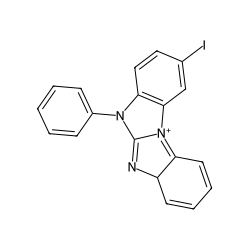 Ic1ccc2c(c1)[n+]1c(n2-c2ccccc2)=NC2C=CC=CC=12